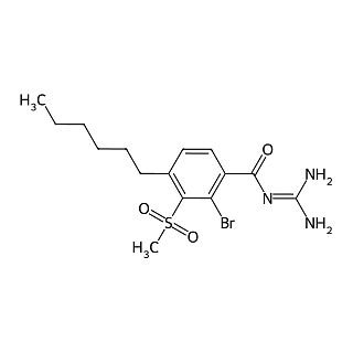 CCCCCCc1ccc(C(=O)N=C(N)N)c(Br)c1S(C)(=O)=O